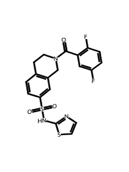 O=C(c1cc(F)ccc1F)N1CCc2ccc(S(=O)(=O)Nc3nccs3)cc2C1